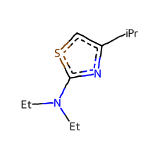 CCN(CC)c1nc(C(C)C)cs1